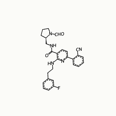 N#Cc1ccccc1-c1ccc(C(=O)NC[C@H]2CCCN2C=O)c(NCCc2cccc(F)c2)n1